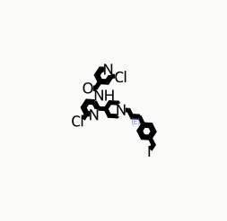 O=C(Nc1ccc(Cl)nc1C1CCN(C/C=C/c2ccc(CI)cc2)CC1)c1ccnc(Cl)c1